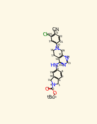 CC(C)(C)OC(=O)N1Cc2ccc(Nc3ncnc4c3CCN(c3ccc(C#N)c(Cl)c3)C4)cc2C1